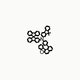 CC1(C)c2ccccc2-c2ccc(N(c3ccc(-c4cccc5ccc6oc7ccccc7c6c45)cc3)c3ccc4c(c3)C3(c5ccccc5-c5ccccc53)c3ccccc3-4)cc21